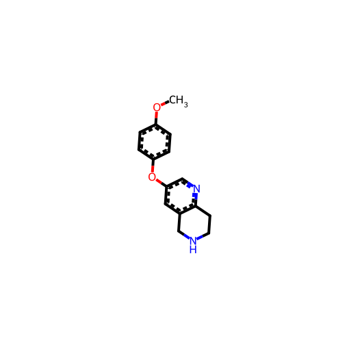 COc1ccc(Oc2cnc3c(c2)CNCC3)cc1